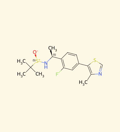 Cc1ncsc1-c1ccc([C@H](C)N[S@+]([O-])C(C)(C)C)c(F)c1